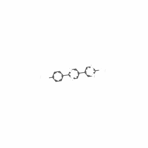 Cc1ccc(-c2ncc(-c3cnc(C)nc3)cn2)cc1